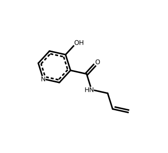 C=CCNC(=O)c1cnccc1O